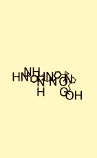 N=C(N)c1ccc(NCCc2nc3cc(C4(C(=O)N5CCCC5CCC(=O)O)CC4)ccc3[nH]2)cc1